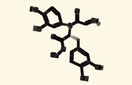 C=CC(=O)N(c1ccc(O)c(O)c1)[C@H](Cc1ccc(O)c(O)c1)C(=O)OC(C)(C)C